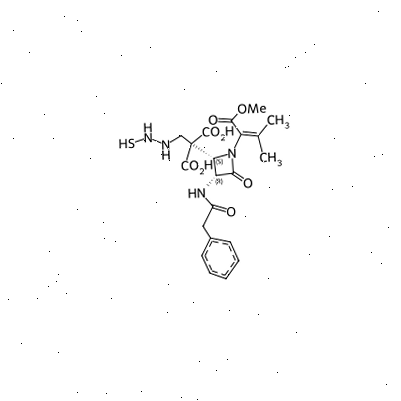 COC(=O)C(=C(C)C)N1C(=O)[C@H](NC(=O)Cc2ccccc2)[C@@H]1C(CNNS)(C(=O)O)C(=O)O